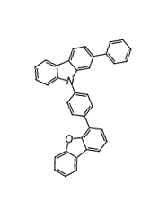 c1ccc(-c2ccc3c4ccccc4n(-c4ccc(-c5cccc6c5oc5ccccc56)cc4)c3c2)cc1